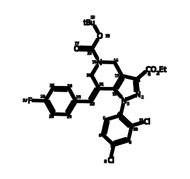 CCOC(=O)c1nn(-c2ccc(Cl)cc2Cl)c2c1CN(C(=O)OC(C)(C)C)C/C2=C\c1ccc(F)cc1